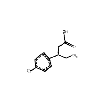 CCC(CC(=O)O)c1ccc(Cl)cc1